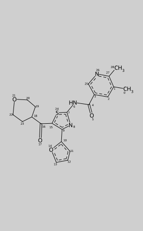 Cc1cc(C(=O)Nc2nc(-c3ccco3)c(C(=O)C3CCOCC3)s2)cnc1C